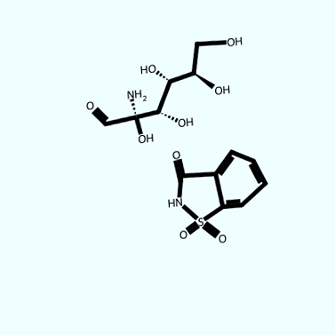 N[C@](O)(C=O)[C@@H](O)[C@H](O)[C@H](O)CO.O=C1NS(=O)(=O)c2ccccc21